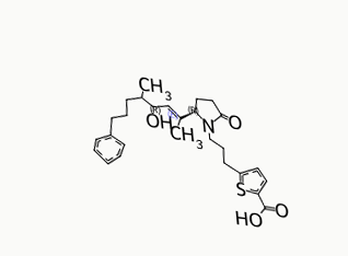 C/C(=C\[C@H](O)C(C)CCCc1ccccc1)[C@H]1CCC(=O)N1CCCc1ccc(C(=O)O)s1